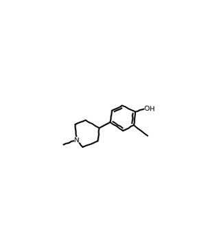 Cc1cc(C2CCN(C)CC2)ccc1O